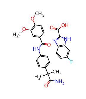 COc1ccc(C(=O)Nc2ccc(C(C)(C)C(N)=O)cc2)cc1OC.O=C(O)c1nc2ccc(F)cc2[nH]1